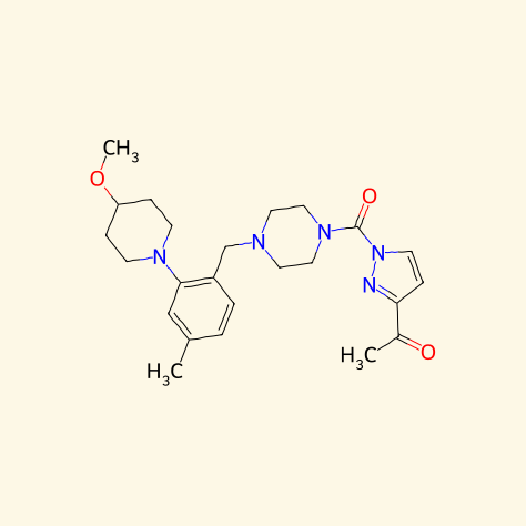 COC1CCN(c2cc(C)ccc2CN2CCN(C(=O)n3ccc(C(C)=O)n3)CC2)CC1